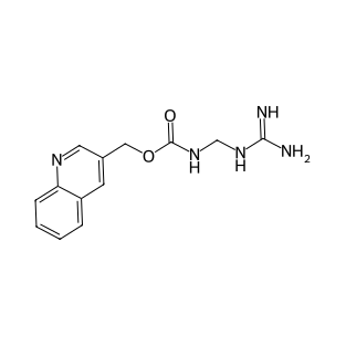 N=C(N)NCNC(=O)OCc1cnc2ccccc2c1